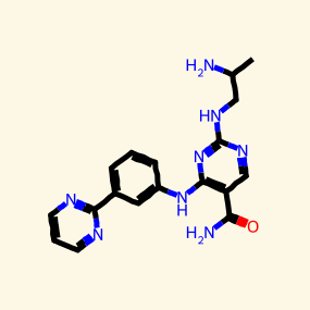 CC(N)CNc1ncc(C(N)=O)c(Nc2cccc(-c3ncccn3)c2)n1